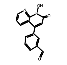 O=Cc1cccc(-c2cc(=O)n(O)c3ncccc23)c1